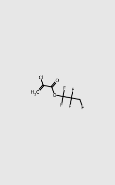 C=C(Cl)C(=O)OC(F)(F)C(F)(F)CF